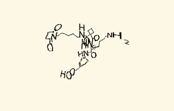 NCCCC[C@H](NC(=O)C1(C(=O)NCCCCCN2C(=O)C=CC2=O)CCC1)C(=O)Nc1ccc(COO)cc1